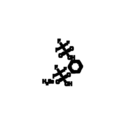 O=S(=O)(O)C(F)(F)F.O=S(=O)(O)C(F)(F)F.[SeH2].c1ccccc1